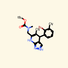 CN(CC1=C(C#N)C(c2cccc(C#N)c2Br)c2c[nH]nc2N1)C(=O)OC(C)(C)C